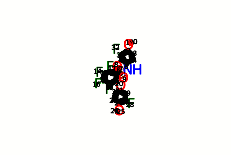 COc1ccc(NS(=O)(=O)c2c(F)c(F)c(F)c(F)c2Oc2ccc(OC)c(F)c2)cc1F